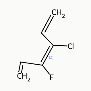 C=C/C(F)=C(/Cl)C=C